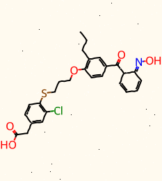 CCCc1cc(C(=O)C2C=CC=CC2=NO)ccc1OCCCSc1ccc(CC(=O)O)cc1Cl